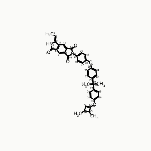 C/C=C1\NC(=O)c2cc3c(cc21)C(=O)N(c1ccc(Oc2ccc(C(C)(C)c4ccc(OC5=CC(C)C5C)cc4)cc2)cc1)C3=O